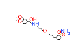 CC1(C)OCc2cc([C@@H](O)CNCCCCCOCCCCCc3cccc(S(N)(=O)=O)c3)ccc2O1